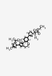 CCOC(=O)C(C)(C)C1N=CC(c2ccc3c(c2)OCCn2cc(-c4nc(C)nn4C(C)C)nc2-3)=N1